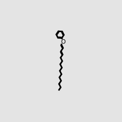 CCCCCCCCCCCC=CC=COc1ccccc1